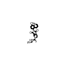 CC(C)CNC(=S)N1CC2CC1C1C(=O)N(c3ccc(C#N)c4ncccc34)C(=O)N21